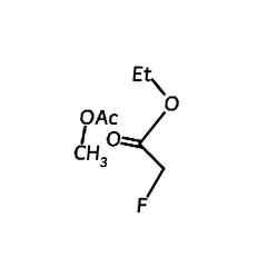 CCOC(=O)CF.COC(C)=O